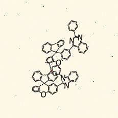 c1ccc(-c2nc(-c3ccc4c(c3)C3(c5ccccc5-c5ccccc53)c3cccc(-c5cccc6c5-c5ccccc5C65c6ccccc6Oc6ccc(-c7nc8ccccc8n7-c7ccccc7)cc65)c3O4)c3ccccc3n2)cc1